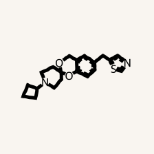 c1ncc(Cc2ccc3c(c2)COC2(CCN(C4CCC4)CC2)O3)s1